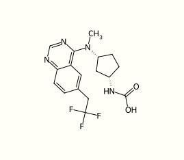 CN(c1ncnc2ccc(CC(F)(F)F)cc12)[C@@H]1CC[C@H](NC(=O)O)C1